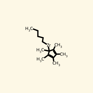 CCCC[CH2][Zr][C]1(C)C(C)=C(C)C(C)=C1C